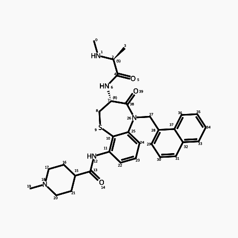 CN[C@@H](C)C(=O)N[C@H]1CSc2c(NC(=O)C3CCN(C)CC3)cccc2N(Cc2cccc3ccccc23)C1=O